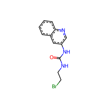 O=C(NCCBr)Nc1cnc2ccccc2c1